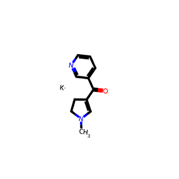 CN1C=C(C(=O)c2cccnc2)CC1.[K]